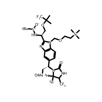 [2H]C1([2H])C(C(F)(F)F)NC(=O)N1[C@H](COC)c1ccc2c(c1)nc([C@H](COC(C)(C)C(F)(F)F)N[S+]([O-])C(C)(C)C)n2COCC[Si](C)(C)C